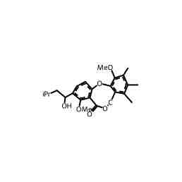 COc1c(C)c(C)c(C)c2c1Oc1ccc(C(O)CC(C)C)c(OC)c1C(=O)OC2